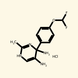 CC1=NC(N)(c2ccc(OC(F)F)cc2)C(N)=CN1.Cl